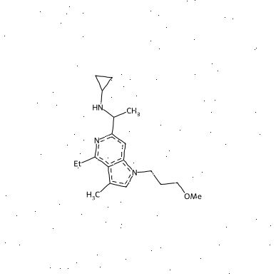 CCc1nc(C(C)NC2CC2)cc2c1c(C)cn2CCCOC